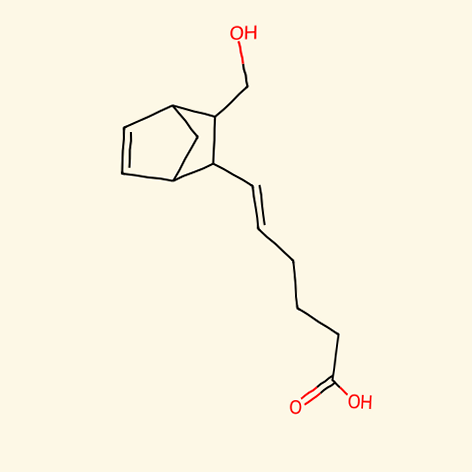 O=C(O)CCCC=CC1C2C=CC(C2)C1CO